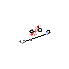 CCCCCCCCCCCCCCCC[n+]1ccccc1.O=C(Oc1ccccc1C(=O)[O-])c1ccccc1O